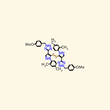 COc1ccc(Cn2nnc(-c3cnn(-c4ccc(C)cc4C)c3SSc3c(-c4nnn(Cc5ccc(OC)cc5)n4)cnn3-c3ccc(C)cc3C)n2)cc1